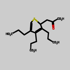 O=C(O)CCC1=CSC(CC(=O)C(=O)O)C(CCC(=O)O)=C1CCC(=O)O